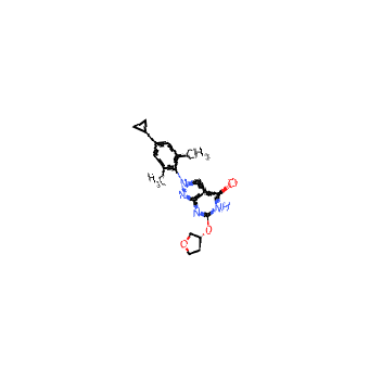 Cc1cc(C2CC2)cc(C)c1-n1cc2c(=O)[nH]c(O[C@@H]3CCOC3)nc2n1